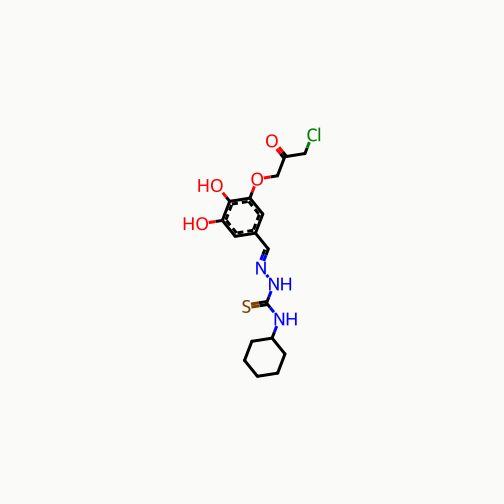 O=C(CCl)COc1cc(/C=N/NC(=S)NC2CCCCC2)cc(O)c1O